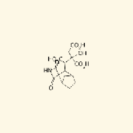 O=C(O)CC(O)(C(=O)O)C(C(=O)O)C1C2CCC(C2)C12C(=O)NC2=O